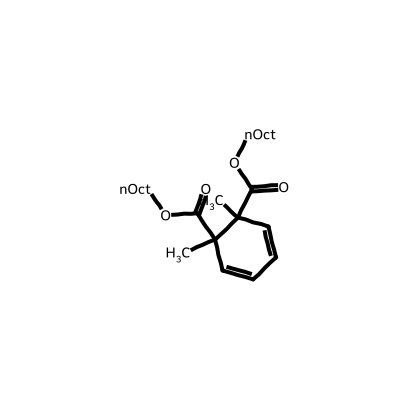 CCCCCCCCOC(=O)C1(C)C=CC=CC1(C)C(=O)OCCCCCCCC